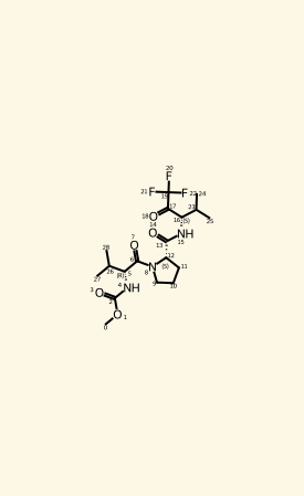 COC(=O)N[C@@H](C(=O)N1CCC[C@H]1C(=O)N[C@H](C(=O)C(F)(F)F)C(C)C)C(C)C